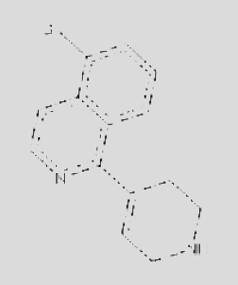 Brc1cccc2c(C3=CCNCC3)nccc12